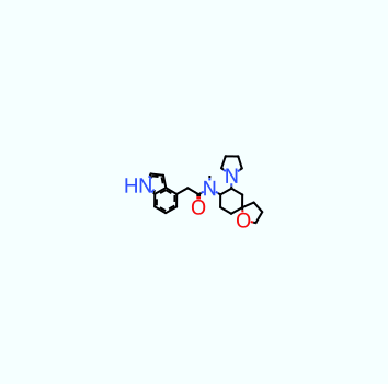 CN(C(=O)Cc1cccc2[nH]ccc12)C1CCC2(CCCO2)CC1N1CCCC1